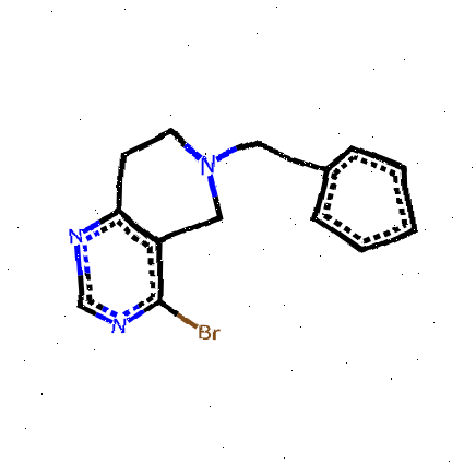 Brc1ncnc2c1CN(Cc1ccccc1)CC2